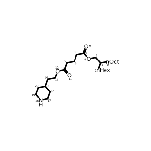 CCCCCCCCC(CCCCCC)COC(=O)CCCC(=O)OCCC1CCNCC1